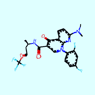 CC(COC(F)(F)F)NC(=O)c1cn(-c2ccc(F)cc2F)c2nc(N(C)C)ccc2c1=O